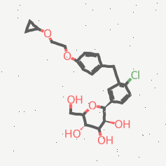 OCC1O[C@@H](c2ccc(Cl)c(Cc3ccc(OCCOC4CC4)cc3)c2)[C@@H](O)C(O)[C@@H]1O